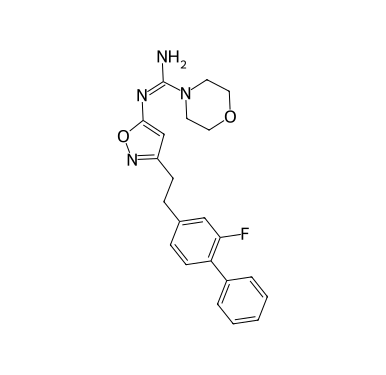 NC(=Nc1cc(CCc2ccc(-c3ccccc3)c(F)c2)no1)N1CCOCC1